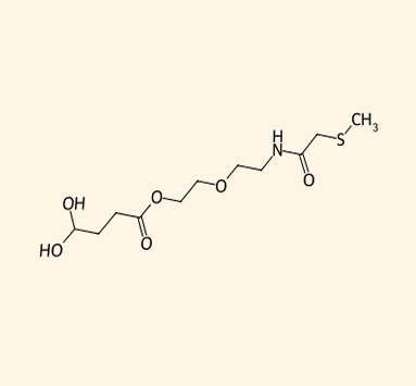 CSCC(=O)NCCOCCOC(=O)CCC(O)O